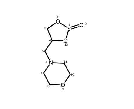 O=S1OCC(CN2CCOCC2)O1